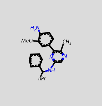 CCCC(Nc1cnc(C)c(-c2ccc(N)c(OC)c2)n1)c1ccccc1